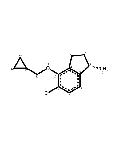 C[C@H]1CCc2c1ccc(Cl)c2OCC1CC1